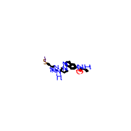 C=CC(=O)Nc1ccc2c(N3CC[C@@H](Nc4ncc(C#CSI)nn4)C3)nccc2c1